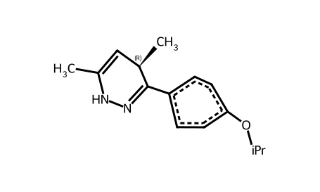 CC1=C[C@@H](C)C(c2ccc(OC(C)C)cc2)=NN1